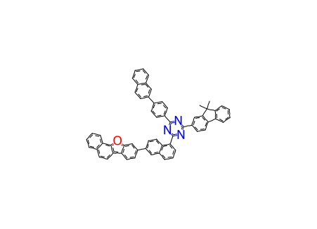 CC1(C)c2ccccc2-c2ccc(-c3nc(-c4ccc(-c5ccc6ccccc6c5)cc4)nc(-c4cccc5cc(-c6ccc7c(c6)oc6c8ccccc8ccc76)ccc45)n3)cc21